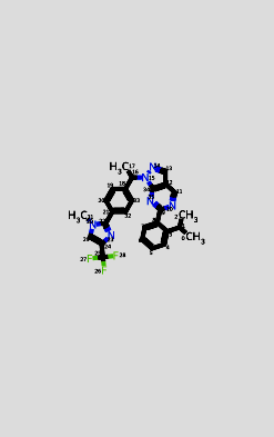 CC(C)c1ccccc1-c1ncc2cnn(C(C)c3ccc(-c4nc(C(F)(F)F)cn4C)cc3)c2n1